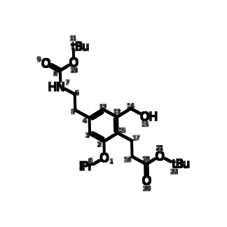 CC(C)Oc1cc(CCNC(=O)OC(C)(C)C)cc(CO)c1CCC(=O)OC(C)(C)C